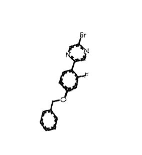 Fc1cc(OCc2ccccc2)ccc1-c1cnc(Br)cn1